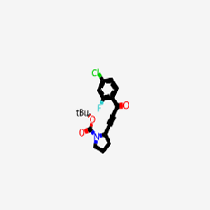 CC(C)(C)OC(=O)N1CCCC1C#CC(=O)c1ccc(Cl)cc1F